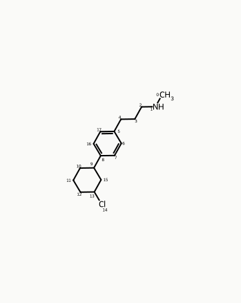 CNCCCc1ccc(C2CCCC(Cl)C2)cc1